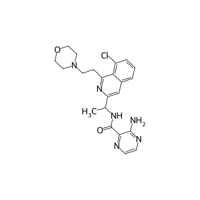 CC(NC(=O)c1nccnc1N)c1cc2cccc(Cl)c2c(CCN2CCOCC2)n1